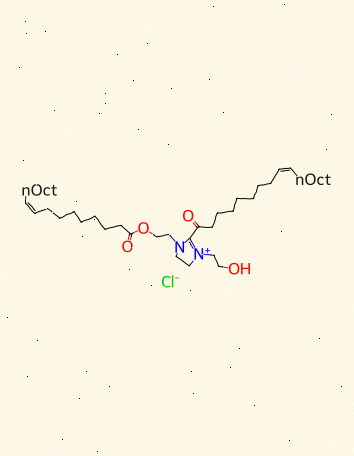 CCCCCCCC/C=C\CCCCCCCC(=O)OCCN1CC[N+](CCO)=C1C(=O)CCCCCCC/C=C\CCCCCCCC.[Cl-]